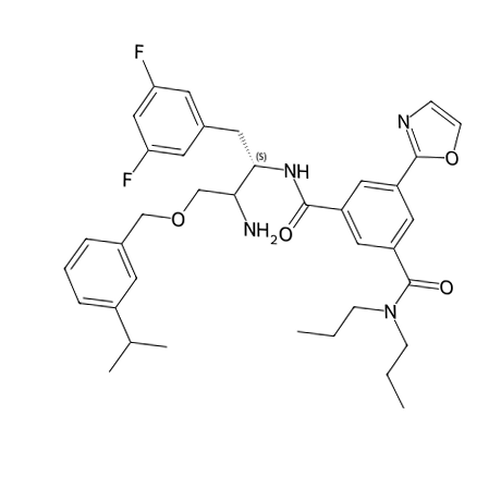 CCCN(CCC)C(=O)c1cc(C(=O)N[C@@H](Cc2cc(F)cc(F)c2)C(N)COCc2cccc(C(C)C)c2)cc(-c2ncco2)c1